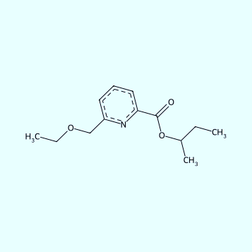 CCOCc1cccc(C(=O)OC(C)CC)n1